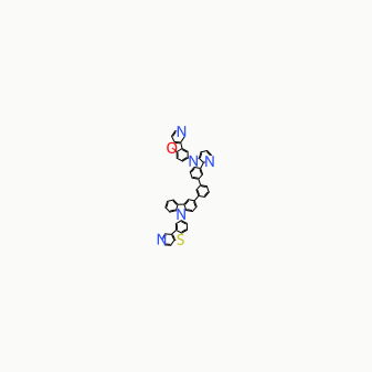 c1cc(-c2ccc3c(c2)c2ccccc2n3-c2ccc3sc4ccncc4c3c2)cc(-c2ccc3c(c2)c2ncccc2n3-c2ccc3oc4ccncc4c3c2)c1